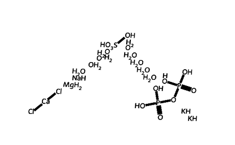 O.O.O.O.O.O.O.O.O.O=P(O)(O)OP(=O)(O)O.O=S(=O)(O)O.[Cl][Ca][Cl].[KH].[KH].[MgH2].[NaH]